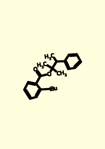 CCC(C)c1ccccc1C(=O)OC(C)(C)C(C)c1ccccc1